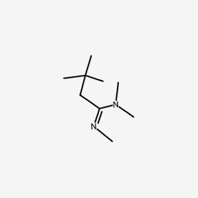 C/N=C(/CC(C)(C)C)N(C)C